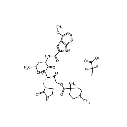 COc1cccc2[nH]c(C(=O)N[C@@H](CC(C)C)C(=O)N[C@@H](C[C@@H]3CCNC3=O)C(=O)COC(=O)C3(C)CCN(C)CC3)cc12.O=C(O)C(F)(F)F